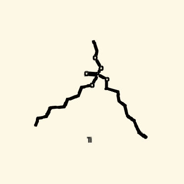 CCCCCCCCOP(=O)(OCCCCCCCC)OOCC.[Ti]